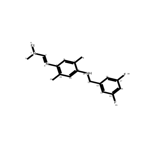 CCN(C)C=Nc1cc(C)c(NCc2cc(F)cc(F)c2)cc1C